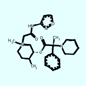 CC1CC[N+](C)(CC(=O)Nc2ccon2)C[C@@H]1OC(=O)[C@@](C)(c1ccccc1)N1CCCCC1